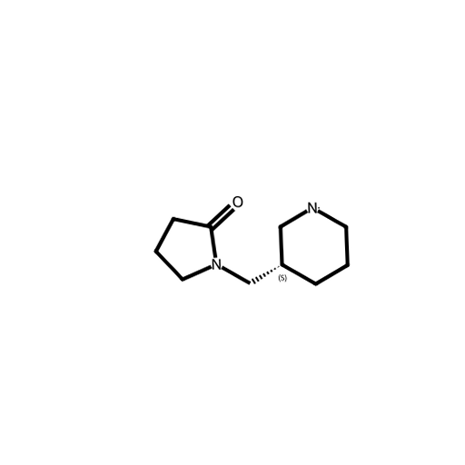 O=C1CCCN1C[C@H]1CCC[N]C1